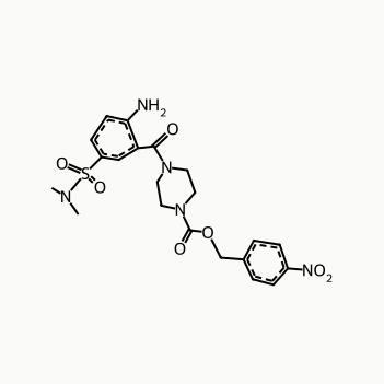 CN(C)S(=O)(=O)c1ccc(N)c(C(=O)N2CCN(C(=O)OCc3ccc([N+](=O)[O-])cc3)CC2)c1